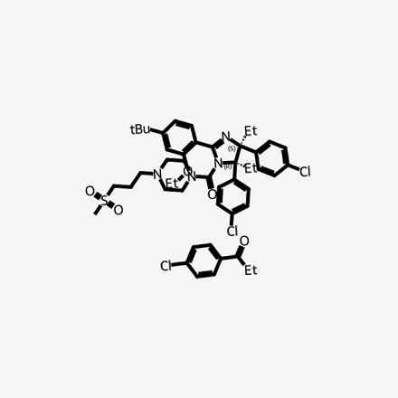 CCC(=O)c1ccc(Cl)cc1.CCOc1cc(C(C)(C)C)ccc1C1=N[C@@](CC)(c2ccc(Cl)cc2)[C@@](CC)(c2ccc(Cl)cc2)N1C(=O)N1CCN(CCCS(C)(=O)=O)CC1